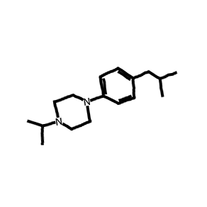 CC(C)Cc1ccc(N2CCN(C(C)C)CC2)cc1